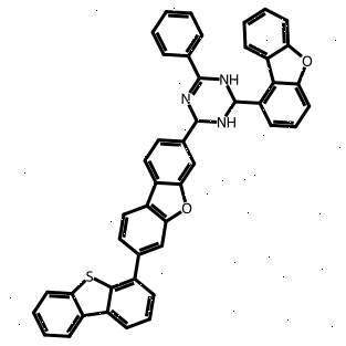 c1ccc(C2=NC(c3ccc4c(c3)oc3cc(-c5cccc6c5sc5ccccc56)ccc34)NC(c3cccc4oc5ccccc5c34)N2)cc1